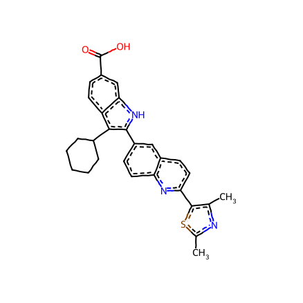 Cc1nc(C)c(-c2ccc3cc(-c4[nH]c5cc(C(=O)O)ccc5c4C4CCCCC4)ccc3n2)s1